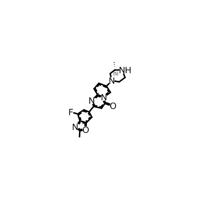 Cc1nc2c(F)cc(-c3cc(=O)n4cc(N5CCN[C@@H](C)C5)ccc4n3)cc2o1